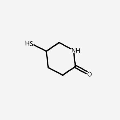 O=C1CCC(S)CN1